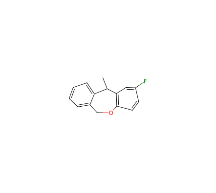 CC1c2ccccc2COc2ccc(F)cc21